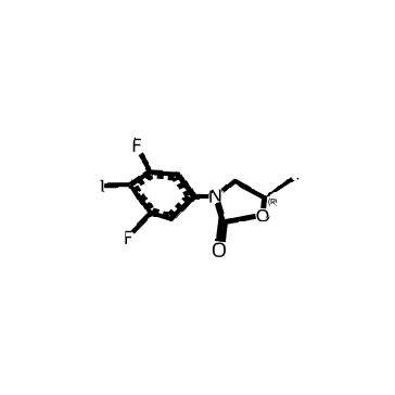 [CH2][C@@H]1CN(c2cc(F)c(I)c(F)c2)C(=O)O1